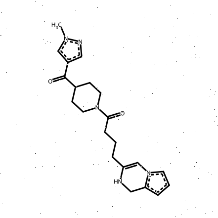 Cn1cc(C(=O)C2CCN(C(=O)CCCC3=Cn4cccc4CN3)CC2)cn1